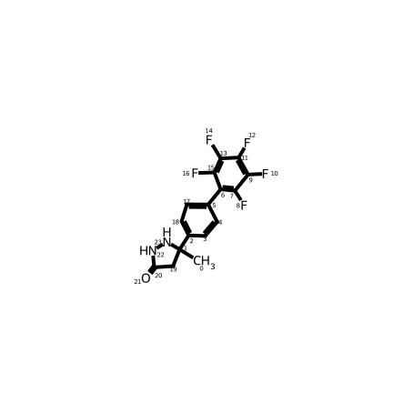 CC1(c2ccc(-c3c(F)c(F)c(F)c(F)c3F)cc2)CC(=O)NN1